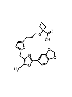 Cc1oc(-c2ccc3c(c2)OCO3)nc1Cc1ccc(C=CCSC2(C(=O)O)CCC2)o1